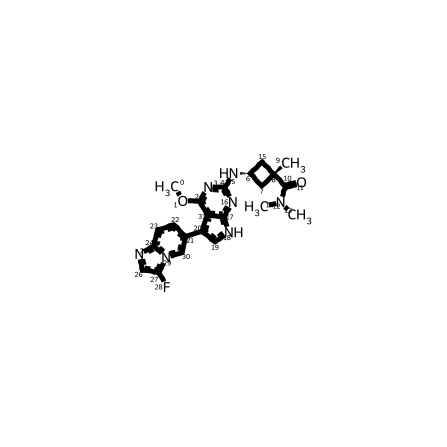 COc1nc(N[C@H]2C[C@@](C)(C(=O)N(C)C)C2)nc2[nH]cc(-c3ccc4ncc(F)n4c3)c12